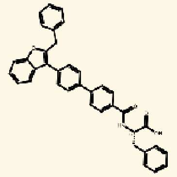 O=C(N[C@@H](Cc1ccccc1)C(=O)O)c1ccc(-c2ccc(-c3c(Cc4ccccc4)oc4ccccc34)cc2)cc1